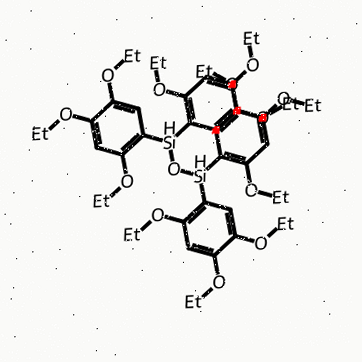 CCOc1cc(OCC)c([SiH](O[SiH](c2cc(OCC)c(OCC)cc2OCC)c2cc(OCC)c(OCC)cc2OCC)c2cc(OCC)c(OCC)cc2OCC)cc1OCC